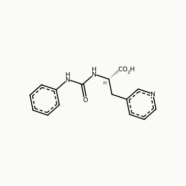 O=C(Nc1ccccc1)N[C@@H](Cc1cccnc1)C(=O)O